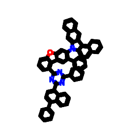 c1ccc(-c2nc(-c3ccc(-c4ccccc4)c4ccccc34)nc(-c3cccc4oc5cc(-n6c7cc8ccccc8cc7c7c8ccccc8ccc76)c(-c6ccccc6)cc5c34)n2)cc1